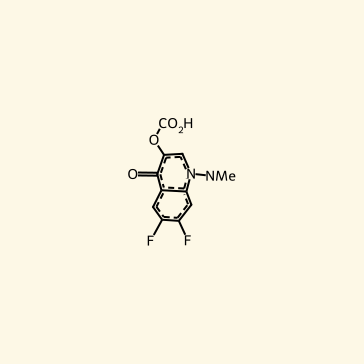 CNn1cc(OC(=O)O)c(=O)c2cc(F)c(F)cc21